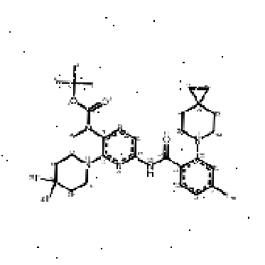 CN(C(=O)OC(C)(C)C)c1ccc(NC(=O)c2ccc(I)cc2N2CCC3(CC2)CC3)nc1N1CCC(F)(F)CC1